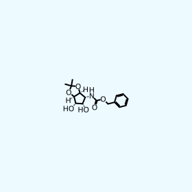 CC1(C)O[C@@H]2[C@@H](O)[C@@H](O)[C@@H](NC(=O)OCc3ccccc3)[C@@H]2O1